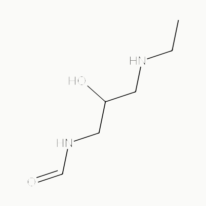 CCNCC(O)CN[C]=O